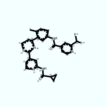 Cc1ccc(NC(=O)c2ccnc(C(F)F)c2)cc1-c1ccnc(-c2ccnc(NC(=O)C3CC3)c2)n1